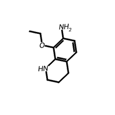 CCOc1c(N)ccc2c1NCCC2